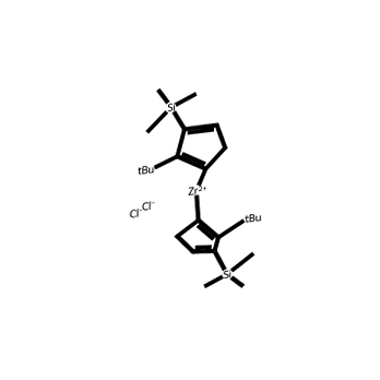 CC(C)(C)C1=[C]([Zr+2][C]2=C(C(C)(C)C)C([Si](C)(C)C)=CC2)CC=C1[Si](C)(C)C.[Cl-].[Cl-]